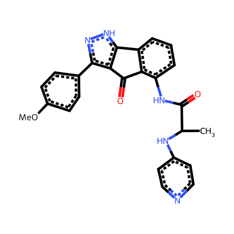 COc1ccc(-c2n[nH]c3c2C(=O)c2c(NC(=O)C(C)Nc4ccncc4)cccc2-3)cc1